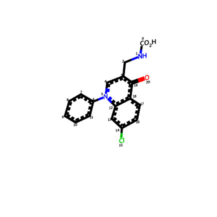 O=C(O)NCc1cn(-c2ccccc2)c2cc(Cl)ccc2c1=O